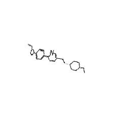 CCOc1ccc(-c2ccc(CC[C@H]3CC[C@H](CC)CC3)cn2)cc1